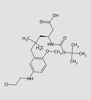 COc1ccc(NCCCl)cc1CC(C)(C)C[C@@H](CC(=O)O)NC(=O)OC(C)(C)C